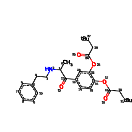 CC(NCCc1ccccc1)C(=O)c1ccc(OC(=O)CC(C)(C)C)c(OC(=O)CC(C)(C)C)c1